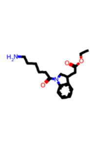 CCOC(=O)CC1CN(C(=O)CCCCCN)c2ccccc21